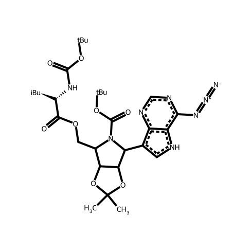 CC[C@H](C)[C@H](NC(=O)OC(C)(C)C)C(=O)OCC1C2OC(C)(C)OC2C(c2c[nH]c3c(N=[N+]=[N-])ncnc23)N1C(=O)OC(C)(C)C